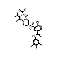 CCC1C[C@@H](S(=O)(=O)c2cc(C(=O)Nc3cc(F)c(F)c(F)c3)ccc2Cl)C[C@H](C)N1C(=O)[C@@H](NC(=O)OC)C(C)C